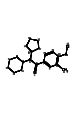 Cc1cc(C(=O)N(C2CCCCC2)C2CCCC2)ccc1CCl